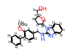 CCCCOc1cc(CNc2nc3ccccc3n2[C@H]2CC[C@@H](CO)O2)ccc1-c1ccccc1